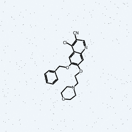 N#Cc1cnc2cc(OCCN3CCOCC3)c(OCc3ccccc3)cc2c1Cl